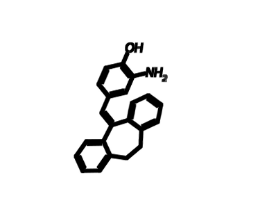 Nc1cc(C=C2c3ccccc3CCc3ccccc32)ccc1O